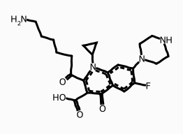 NCCCCCC(=O)c1c(C(=O)O)c(=O)c2cc(F)c(N3CCNCC3)cc2n1C1CC1